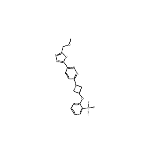 COCc1nnc(-c2ccc(N3CC(Oc4ccccc4C(F)(F)F)C3)nn2)o1